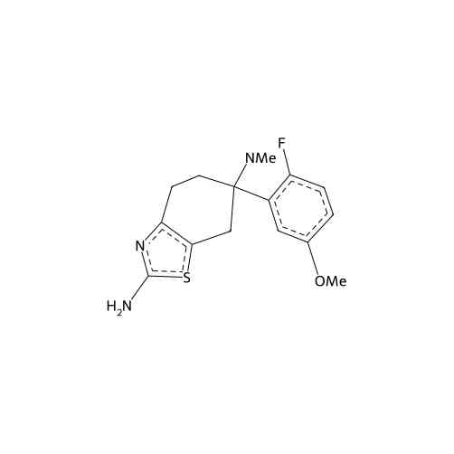 CNC1(c2cc(OC)ccc2F)CCc2nc(N)sc2C1